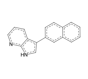 c1ccc2cc(-c3c[nH]c4ncccc34)ccc2c1